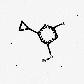 CCc1cc(OC(C)C)cc(C2CC2)c1